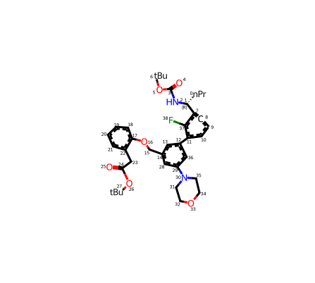 CCC[C@@H](NC(=O)OC(C)(C)C)c1cccc(-c2cc(COc3ccccc3CC(=O)OC(C)(C)C)cc(N3CCOCC3)c2)c1F